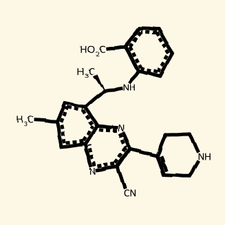 Cc1cc([C@@H](C)Nc2ccccc2C(=O)O)c2nc(C3=CCNCC3)c(C#N)nc2c1